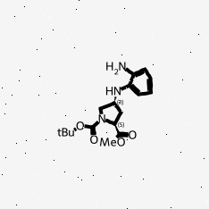 COC(=O)[C@@H]1C[C@@H](Nc2ccccc2N)CN1C(=O)OC(C)(C)C